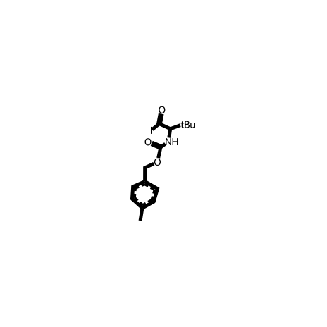 Cc1ccc(COC(=O)NC(C(=O)I)C(C)(C)C)cc1